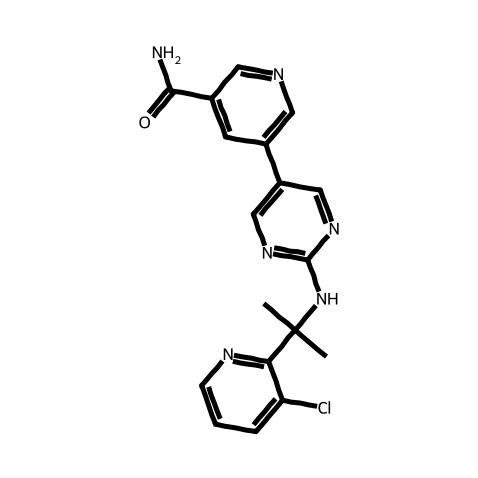 CC(C)(Nc1ncc(-c2cncc(C(N)=O)c2)cn1)c1ncccc1Cl